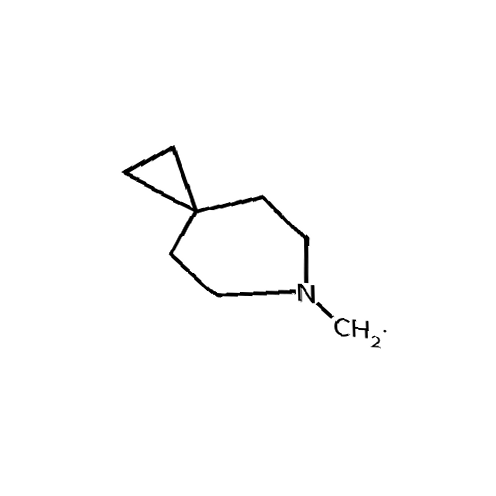 [CH2]N1CCC2(CC1)CC2